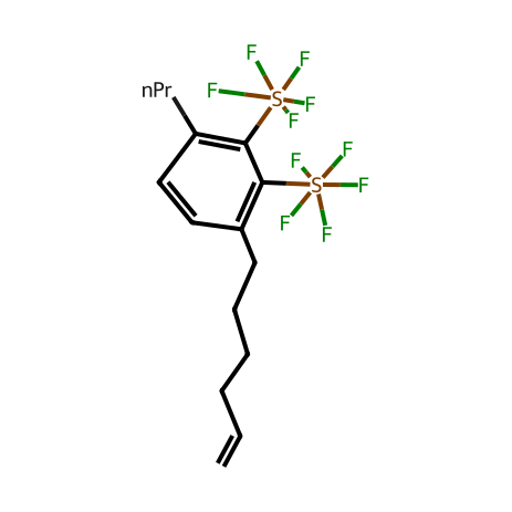 C=CCCCCc1ccc(CCC)c(S(F)(F)(F)(F)F)c1S(F)(F)(F)(F)F